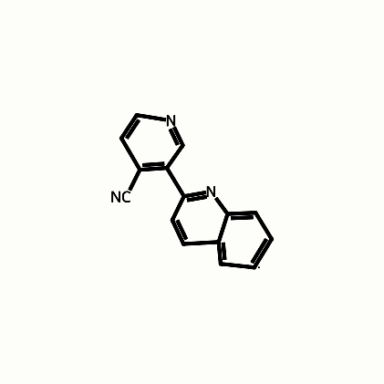 N#Cc1ccncc1-c1ccc2c[c]ccc2n1